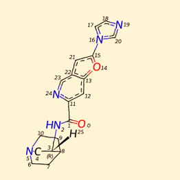 O=C(N[C@H]1CN2CCC1CC2)c1cc2oc(-n3ccnc3)cc2cn1